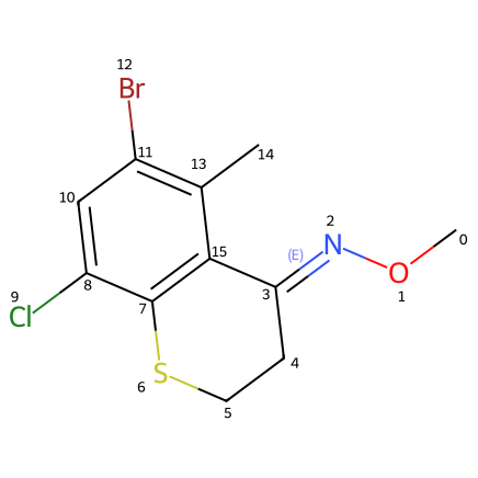 CO/N=C1\CCSc2c(Cl)cc(Br)c(C)c21